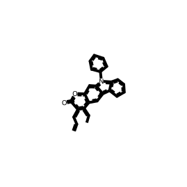 C=C/C=c1/c(=O)oc2cc3c(cc2/c1=C/C)c1ccccc1n3-c1ccccc1